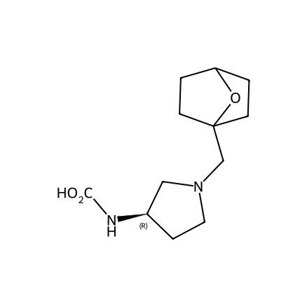 O=C(O)N[C@@H]1CCN(CC23CCC(CC2)O3)C1